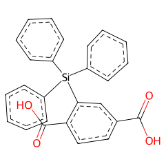 O=C(O)c1ccc(C(=O)O)c([Si](c2ccccc2)(c2ccccc2)c2ccccc2)c1